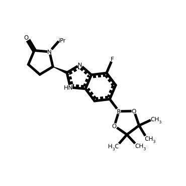 CC(C)N1C(=O)CC[C@@H]1c1nc2c(F)cc(B3OC(C)(C)C(C)(C)O3)cc2[nH]1